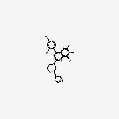 Cc1nc2c(-c3ccc(Cl)cc3F)nc(N3CCCC(n4cncn4)C3)nc2c(=O)n1C